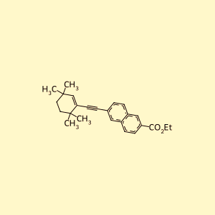 CCOC(=O)c1ccc2cc(C#CC3=CC(C)(C)CCC3(C)C)ccc2c1